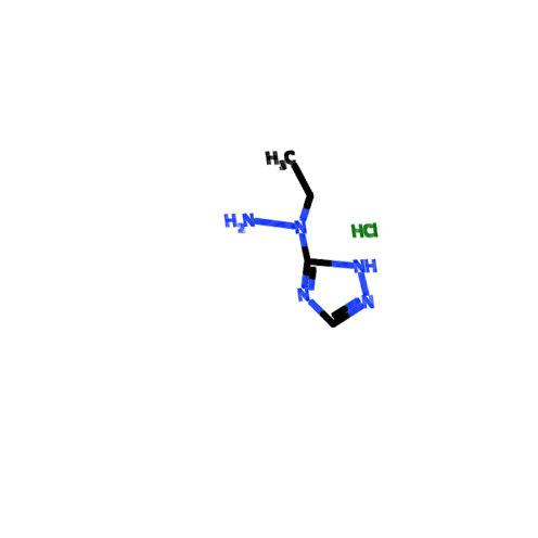 CCN(N)c1ncn[nH]1.Cl